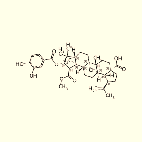 C=C(C)[C@@H]1CC[C@]2(C(=O)O)CC[C@]3(C)[C@H](CC[C@@H]4[C@@]5(C)[C@@H](C(=O)OC)[C@H](OC(=O)c6ccc(O)c(O)c6)C(C)(C)[C@@H]5CC[C@]43C)[C@@H]12